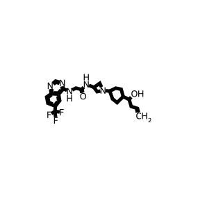 C=CCC(O)C1CCC(N2CC(NC(=O)CNc3ncnc4ccc(C(F)(F)F)cc34)C2)CC1